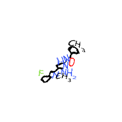 Cc1cccc(C(=O)Nc2ccc(-c3cc4c(F)cccc4n3C)c(N)n2)c1